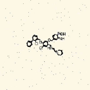 N=C1C=C(COc2cc(OCc3cccc(-c4ccccc4)c3Cl)c(Cl)cc2CNCCN2CCCCC2)C=C/C1=N/O